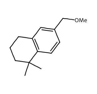 COCc1ccc2c(c1)CCCC2(C)C